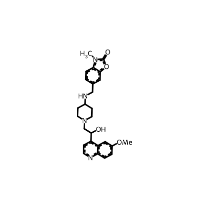 COc1ccc2nccc(C(O)CN3CCC(NCc4ccc5c(c4)oc(=O)n5C)CC3)c2c1